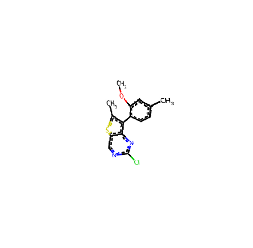 COc1cc(C)ccc1-c1c(C)sc2cnc(Cl)nc12